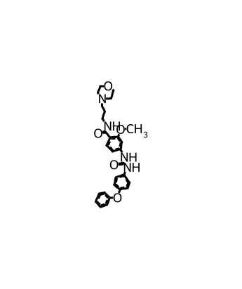 COc1cc(NC(=O)Nc2ccc(Oc3ccccc3)cc2)ccc1C(=O)NCCCN1CCOCC1